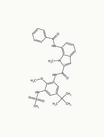 COc1c(NC(=O)c2cc3cccc(NC(=O)c4ccccc4)c3n2C)cc(C(C)(C)C)cc1NS(C)(=O)=O